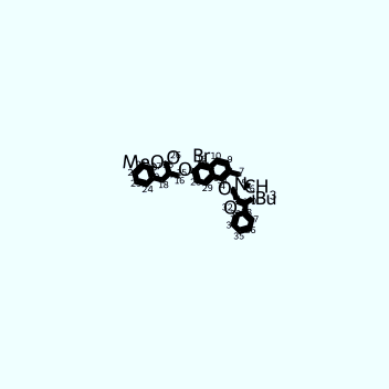 CCC(C)c1c(C(=O)N(C)Cc2ccc3c(Br)c(OCC(Cc4ccccc4)C(=O)OC)ccc3c2)oc2ccccc12